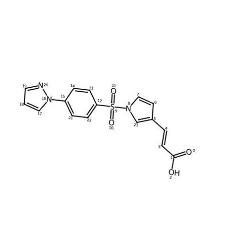 O=C(O)C=Cc1ccn(S(=O)(=O)c2ccc(-n3cccn3)cc2)c1